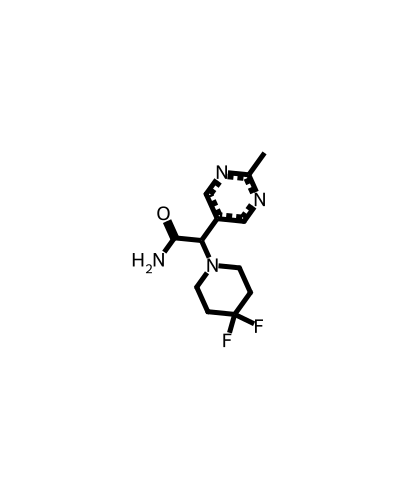 Cc1ncc(C(C(N)=O)N2CCC(F)(F)CC2)cn1